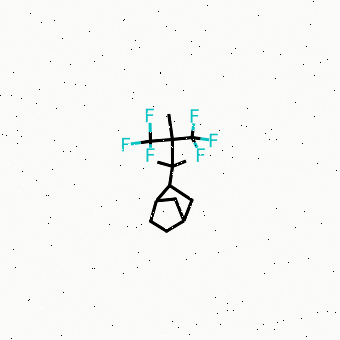 CC(C)(C1CC2CCC1C2)C(C)(C(F)(F)F)C(F)(F)F